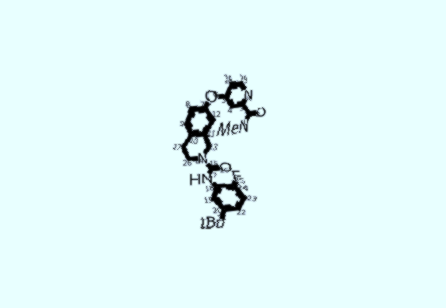 CNC(=O)c1cc(Oc2ccc3c(c2)CN(C(=O)Nc2cc(C(C)(C)C)ccc2F)CC3)ccn1